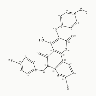 COc1ccc(Sc2c(O)c3c(=O)n(Cc4ccc(F)cc4)c4cc(Br)ccc4c3oc2=O)cc1